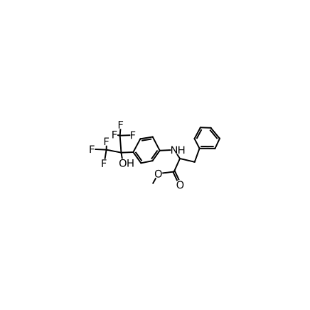 COC(=O)C(Cc1ccccc1)Nc1ccc(C(O)(C(F)(F)F)C(F)(F)F)cc1